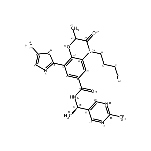 Cc1cnc(-c2cc(C(=O)N[C@H](C)c3cnc(C(F)(F)F)nc3)cc3c2OC(C)C(=O)N3CCCF)s1